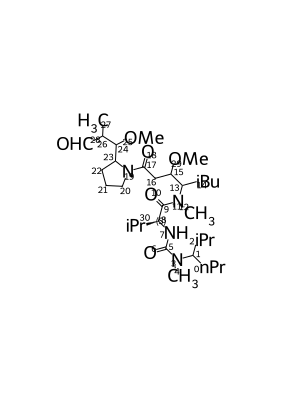 CCCC(C(C)C)N(C)C(=O)N[C@H](C(=O)N(C)C(C(C)CC)C(CC(=O)N1CCCC1C(OC)C(C)C=O)OC)C(C)C